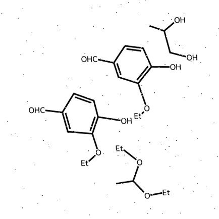 CC(O)CO.CCOC(C)OCC.CCOc1cc(C=O)ccc1O.CCOc1cc(C=O)ccc1O